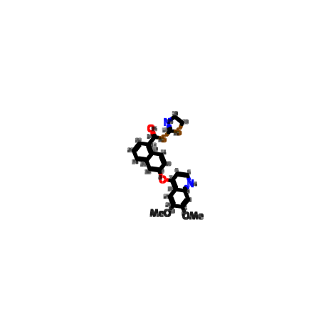 COc1cc2nccc(Oc3ccc4c(C(=O)SC5=NCCS5)cccc4c3)c2cc1OC